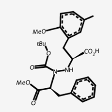 COC(=O)[C@H](Cc1ccccc1)N(N[C@@H](Cc1cc(C)ccc1OC)C(=O)O)C(=O)OC(C)(C)C